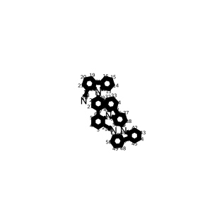 N#Cc1cccc(-c2ccc(-n3c4ccccc4c4cccc(C#N)c43)cc2)c1-n1c2ccccc2c2ccc(-n3c4ccccc4c4ccccc43)cc21